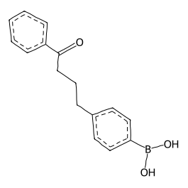 O=C(CCCc1ccc(B(O)O)cc1)c1ccccc1